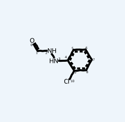 O=CNNc1ccccc1Cl